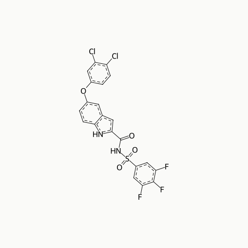 O=C(NS(=O)(=O)c1cc(F)c(F)c(F)c1)c1cc2cc(Oc3ccc(Cl)c(Cl)c3)ccc2[nH]1